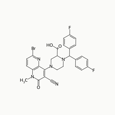 Cn1c(=O)c(C#N)c(N2CCN(C(c3ccc(F)cc3)c3ccc(F)cc3)C(C(=O)O)C2)c2nc(Br)ccc21